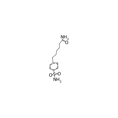 NC(=O)CCCCCc1ccc(S(N)(=O)=O)cc1